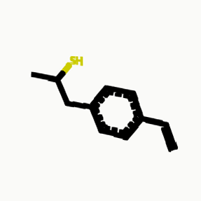 C=Cc1ccc(CC(C)S)cc1